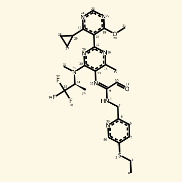 CCSc1ccc(CN/C(C=O)=N/c2c(C)nc(-c3c(OC)ncnc3C3CC3)nc2N(C)[C@@H](C)C(F)(F)F)nc1